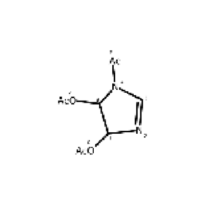 CC(=O)OC1N=CN(C(C)=O)C1OC(C)=O